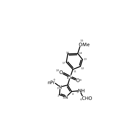 CCCn1cnc(NC=O)c1S(=O)(=O)c1ccc(OC)cc1